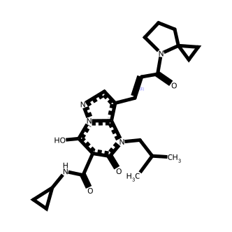 CC(C)Cn1c(=O)c(C(=O)NC2CC2)c(O)n2ncc(/C=C/C(=O)N3CCCC34CC4)c12